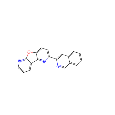 c1ccc2cc(-c3ccc4oc5ncccc5c4n3)ncc2c1